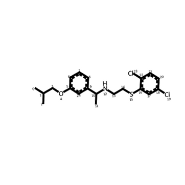 CC(C)COc1cccc(C(C)NCCSc2cc(Cl)ccc2Cl)c1